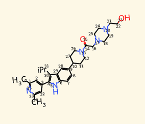 Cc1cc(-c2[nH]c3ccc(C4CCN(C(=O)CN5CCN(CCO)CC5)CC4)cc3c2C(C)C)cc(C)n1